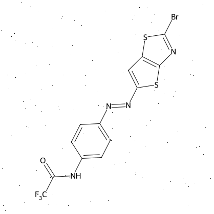 O=C(Nc1ccc(N=Nc2cc3sc(Br)nc3s2)cc1)C(F)(F)F